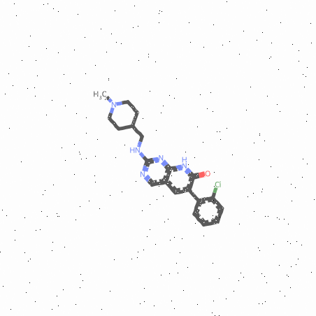 CN1CCC(CNc2ncc3cc(-c4ccccc4Cl)c(=O)[nH]c3n2)CC1